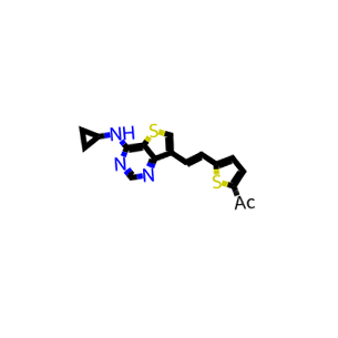 CC(=O)c1ccc(C=Cc2csc3c(NC4CC4)ncnc23)s1